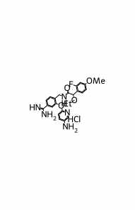 CCOC(C(=O)NCc1ccc(C(=N)N)cc1Oc1ccc(N)cn1)c1ccc(OC)cc1F.Cl